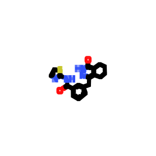 O=C(Nc1nccs1)c1cccc(Cc2n[nH]c(=O)c3c2CCCC3)c1